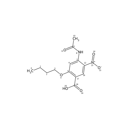 CCCCOc1cc(NC(C)=O)c([N+](=O)[O-])cc1C(=O)O